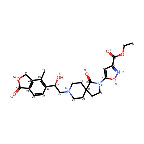 CCOC(=O)c1cc(N2CCC3(CCN(C[C@H](O)c4ccc5c(c4C)COC5=O)CC3)C2=O)on1